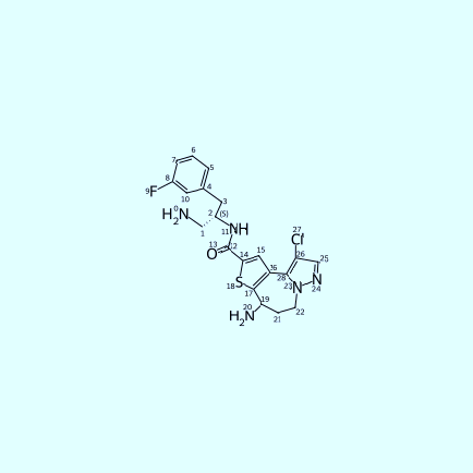 NC[C@H](Cc1cccc(F)c1)NC(=O)c1cc2c(s1)C(N)CCn1ncc(Cl)c1-2